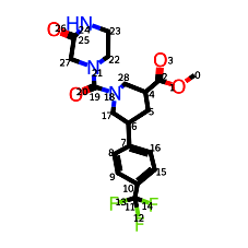 COC(=O)C1CC(c2ccc(C(F)(F)F)cc2)CN(C(=O)N2CCNC(=O)C2)C1